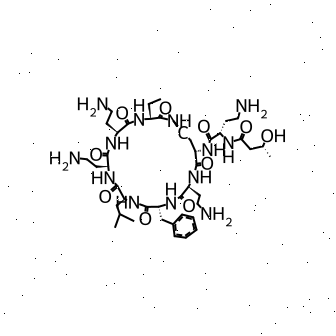 CC[C@@H]1NC(=O)[C@H](CCN)NC(=O)[C@H](CCN)NC(=O)[C@H](CC(C)C)NC(=O)[C@@H](Cc2ccccc2)NC(=O)[C@H](CCN)NC(=O)[C@@H](NC(=O)[C@H](CCN)NC(=O)C[C@@H](C)O)CCNC1=O